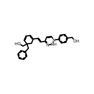 OCc1ccc(N2C=CC(C=CC3=CC=CC(CO)(Cc4ccccc4)C3)=NN2)cc1